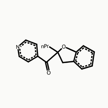 CCCC1(C(=O)c2ccncc2)Cc2ccccc2O1